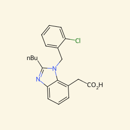 CCCCc1nc2cccc(CC(=O)O)c2n1Cc1ccccc1Cl